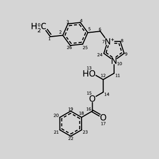 C=Cc1ccc(C[n+]2ccn(CC(O)COC(=O)c3ccccc3)c2)cc1